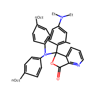 CCCCCCCCc1ccc(N(c2ccc(CCCCCCCC)cc2)C2(c3ccc(N(CC)CC)cc3C)OC(=O)c3ncccc32)cc1